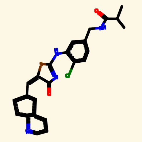 CC(C)C(=O)NCc1ccc(Cl)c(NC2=NC(=O)C(=Cc3ccc4ncccc4c3)S2)c1